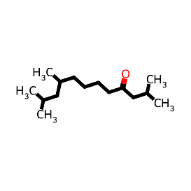 CC(C)CC(=O)CCCCC(C)CC(C)C